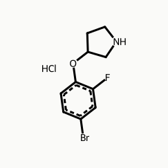 Cl.Fc1cc(Br)ccc1OC1CCNC1